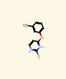 O=[N+]([O-])c1cccc(Oc2ccnc(Cl)n2)c1